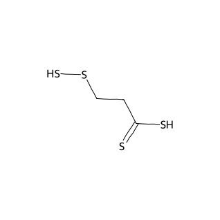 S=C(S)CCSS